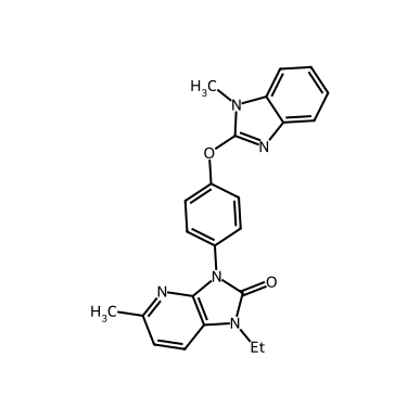 CCn1c(=O)n(-c2ccc(Oc3nc4ccccc4n3C)cc2)c2nc(C)ccc21